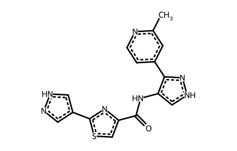 Cc1cc(-c2n[nH]cc2NC(=O)c2csc(-c3cn[nH]c3)n2)ccn1